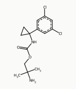 CC(C)(N)COC(=O)NC1(c2cc(Cl)cc(Cl)c2)CC1